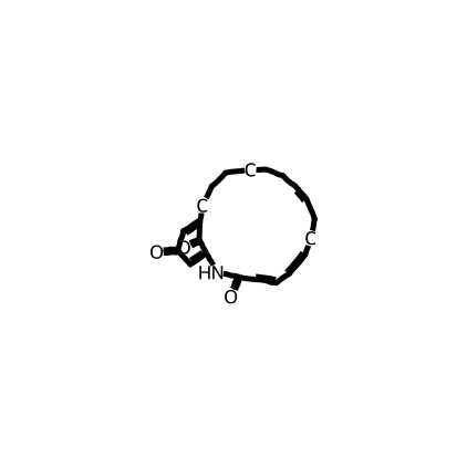 O=C1C=C2CCCCCC/C=C\CC/C=C\C=C/C(=O)NC(=C1)C2=O